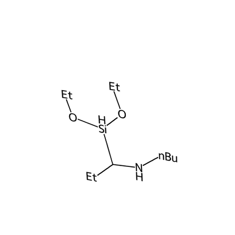 CCCCNC(CC)[SiH](OCC)OCC